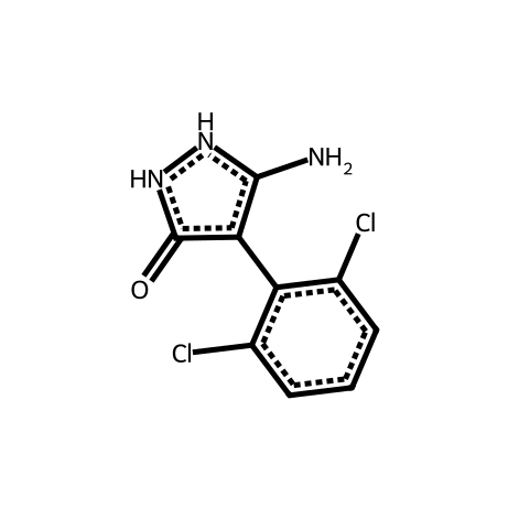 Nc1[nH][nH]c(=O)c1-c1c(Cl)cccc1Cl